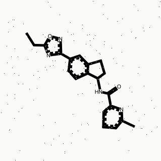 CCc1nc(-c2ccc3c(c2)CCC3NC(=O)c2cccc(C)n2)no1